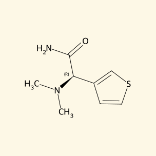 CN(C)[C@@H](C(N)=O)c1ccsc1